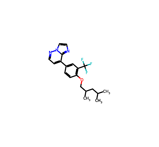 CC(C)CC(C)COc1ccc(-c2ccnn3ccnc23)cc1C(F)(F)F